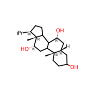 CC(C)[C@H]1CCC2C3C(C[C@H](O)[C@@]21C)[C@@]1(C)CCC(O)C[C@H]1C[C@H]3O